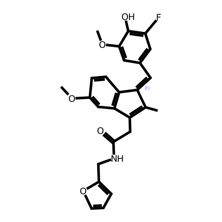 COc1ccc2c(c1)C(CC(=O)NCc1ccco1)=C(C)/C2=C/c1cc(F)c(O)c(OC)c1